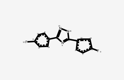 Fc1ccc(C2=NC(c3ccc(F)cc3)=N[N]2)cc1